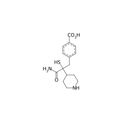 NC(=O)C(S)(Cc1ccc(C(=O)O)cc1)C1CCNCC1